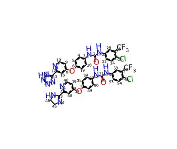 O=C(Nc1ccc(Oc2ccnc(-c3nnn[nH]3)c2)cc1)Nc1ccc(Cl)c(C(F)(F)F)c1.O=C(Nc1ccc(Oc2ccnc(C3=NCCN3)c2)cc1)Nc1ccc(Cl)c(C(F)(F)F)c1